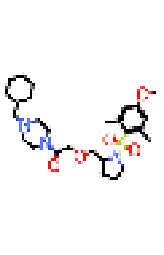 COc1cc(C)c(S(=O)(=O)N2CCCC2COCC(=O)N2CCN(CC3CCCCC3)CC2)c(C)c1